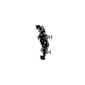 CC(C)[C@@H](OC(=O)N1CCC1)[C@H]1C[C@@H](C)[C@H]2[C@H](O1)[C@H](O)[C@@]1(C)[C@@H]3CC[C@H]4C(C)(C)[C@@H](OC(=O)NCCN5CCC5)CC[C@@]45CC35CC[C@]21C